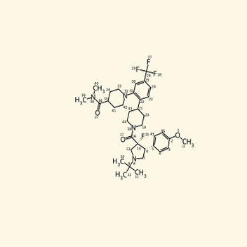 COc1ccc([C@@H]2CN(C(C)(C)C)C[C@@]2(F)C(=O)N2CCC(c3ccc(C(F)(F)F)cc3N3CCC(C(=O)N(C)C)CC3)CC2)cc1